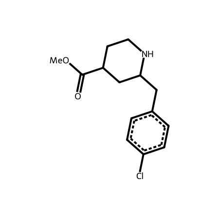 COC(=O)C1CCNC(Cc2ccc(Cl)cc2)C1